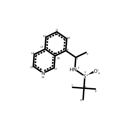 CC(N[S@@+]([O-])C(C)(C)C)c1cccc2ccncc12